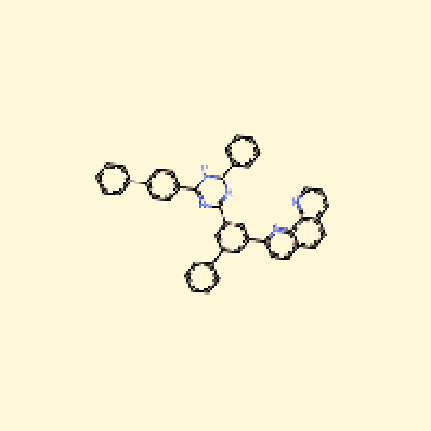 c1ccc(-c2ccc(C3=NC(c4cc(-c5ccccc5)cc(-c5ccc6ccc7cccnc7c6n5)c4)=NC(c4ccccc4)N3)cc2)cc1